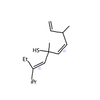 C=CC(C)/C=C\C(C)(S)/C=C(\CC)C(C)C